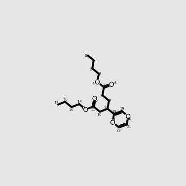 CCCCOC(=O)CCC(CC(=O)OCCCC)C1=COC=CO1